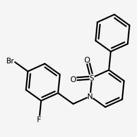 O=S1(=O)C(c2ccccc2)=CC=CN1Cc1ccc(Br)cc1F